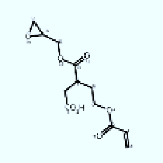 C=CC(=O)OCCC(CC(=O)O)C(=O)OCC1CO1